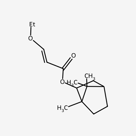 CCOC=CC(=O)OC1CC2CCC1(C)C2(C)C